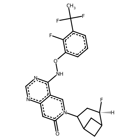 CC(F)(F)c1cccc(ONc2ncnc3cc(=O)n(C4C[C@@H](F)C5CC4C5)cc23)c1F